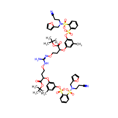 Cc1cc(OC(CCON=C(N)NOCCC(Oc2cc(C)cc(OS(=O)(=O)c3ccccc3S(=O)(=O)N(CCC#N)Cc3ccco3)c2)C(=O)OC(C)(C)C)C(=O)OC(C)(C)C)cc(OS(=O)(=O)c2ccccc2S(=O)(=O)N(CCC#N)Cc2ccco2)c1